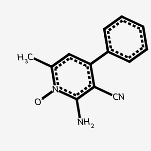 Cc1cc(-c2ccccc2)c(C#N)c(N)[n+]1[O-]